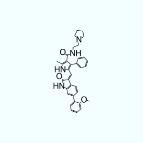 COc1ccccc1-c1ccc2c(c1)NC(=O)C2=Cc1[nH]c(C)c(C(=O)NCCN2CCCC2)c1-c1ccccc1